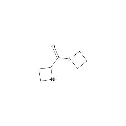 O=C(C1CCN1)N1CCC1